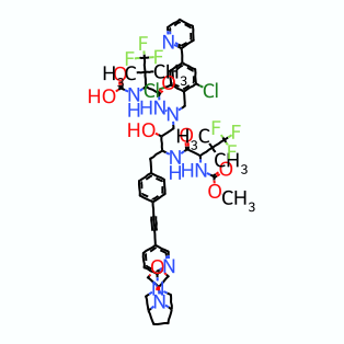 COC(=O)NC(C(=O)NC(Cc1ccc(C#Cc2ccc(N3CC4CCC(C3)N4C3COC3)nc2)cc1)C(O)CN(Cc1c(Cl)cc(-c2ccccn2)cc1Cl)NC(=O)C(NC(=O)O)C(C)(C)C(F)(F)F)C(C)(C)C(F)(F)F